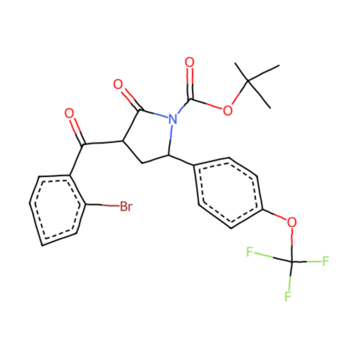 CC(C)(C)OC(=O)N1C(=O)C(C(=O)c2ccccc2Br)CC1c1ccc(OC(F)(F)F)cc1